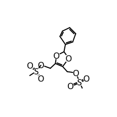 CS(=O)(=O)OCC1=C(COS(C)(=O)=O)OC(c2ccccc2)O1